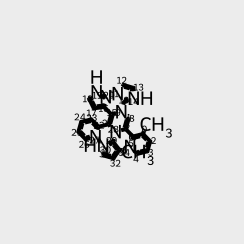 Cc1cccnc1C1=[C]N(c2ncc[nH]2)C(c2cc[nH]n2)=C(c2ccccn2)N1c1[nH]ccc1C